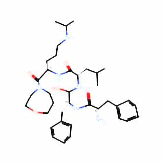 CC(C)C[C@@H](NC(O)[C@@H](Cc1ccccc1)NC(=O)[C@H](N)Cc1ccccc1)C(=O)N[C@H](CCCNC(C)C)C(=O)N1CCCOCC1